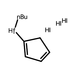 CCC[CH2][Hf][C]1=CC=CC1.I.I.I